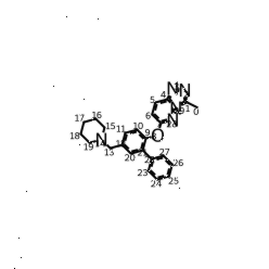 Cc1nnc2ccc(Oc3ccc(CN4CCCCC4)cc3-c3ccccc3)nn12